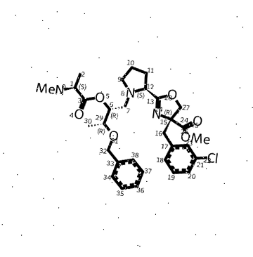 CN[C@@H](C)C(=O)O[C@H](CN1CCC[C@H]1C1=N[C@@](Cc2cccc(Cl)c2)(C(=O)OC)CO1)[C@@H](C)OCc1ccccc1